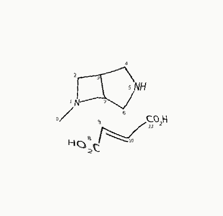 CN1CC2CNCC21.O=C(O)C=CC(=O)O